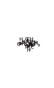 Cc1cccc(C)c1-c1nc2nc(c1C)OCC(CC(C)(C)C)C(Cc1ccc(N3CCOCC3)cn1)c1cccc(c1)SN2